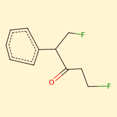 O=C(CCF)C(CF)c1ccccc1